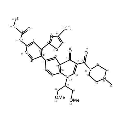 CCNC(=O)Nc1cc(-c2nc(C(F)(F)F)cs2)c(-c2ccc3c(c2)c(=O)c(C(=O)N2CCN(C)CC2)cn3C(COC)COC)cn1